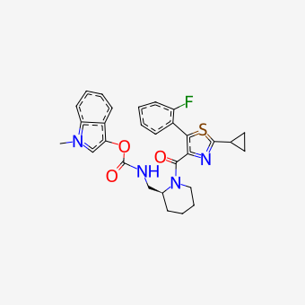 Cn1cc(OC(=O)NC[C@@H]2CCCCN2C(=O)c2nc(C3CC3)sc2-c2ccccc2F)c2ccccc21